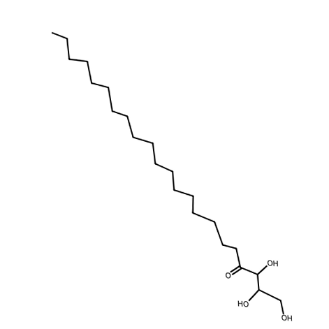 CCCCCCCCCCCCCCCCCCC(=O)C(O)C(O)CO